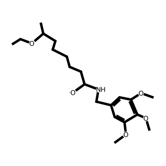 CCOC(C)CCCCCC([O])NCc1cc(OC)c(OC)c(OC)c1